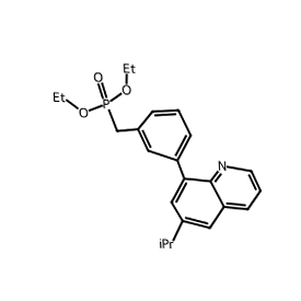 CCOP(=O)(Cc1cccc(-c2cc(C(C)C)cc3cccnc23)c1)OCC